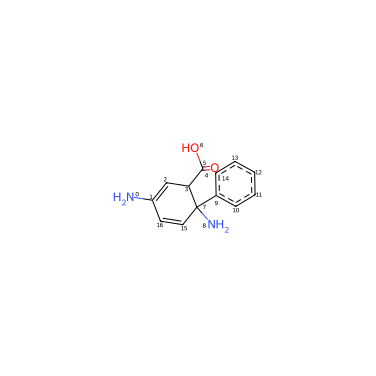 NC1=CC(C(=O)O)C(N)(c2ccccc2)C=C1